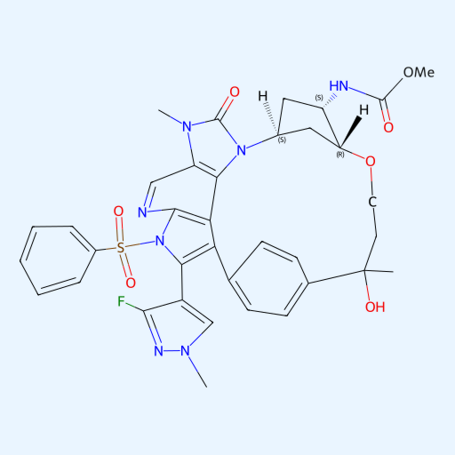 COC(=O)N[C@H]1C[C@H]2C[C@H]1OCCC(C)(O)c1ccc(cc1)-c1c(-c3cn(C)nc3F)n(S(=O)(=O)c3ccccc3)c3ncc4c(c13)n2c(=O)n4C